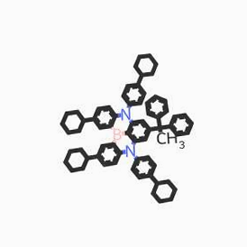 CC(c1ccccc1)(c1ccccc1)c1cc2c3c(c1)N(c1ccc(C4CCCCC4)cc1)c1ccc(C4CCCCC4)cc1B3c1cc(C3CCCCC3)ccc1N2c1ccc(C2CCCCC2)cc1